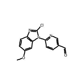 COc1ccc2nc(Cl)n(-c3ccc(C=O)cn3)c2c1